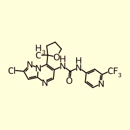 CC1(c2c(NC(=O)Nc3ccnc(C(F)(F)F)c3)cnc3cc(Cl)nn23)CCCO1